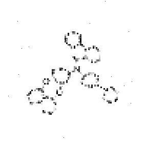 c1ccc(-c2ccc(N(c3ccc4c(c3)Oc3cccc5cccc(c35)O4)c3cc4ccccc4c4ccccc34)cc2)cc1